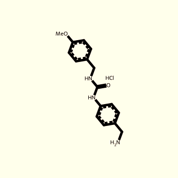 COc1ccc(CNC(=O)Nc2ccc(CN)cc2)cc1.Cl